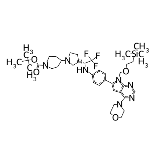 CC(C)(C)OC(=O)N1CCC(N2CC[C@H](C(Nc3ccc(-c4cc5c(N6CCOCC6)ncnc5n4COCC[Si](C)(C)C)cc3)C(F)(F)F)C2)CC1